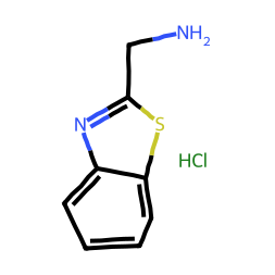 Cl.NCc1nc2ccccc2s1